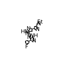 CCN(C)Cc1cncc(-c2cnc3[nH]nc(-c4nc5c(-c6cccc(F)c6)cncc5[nH]4)c3c2)c1